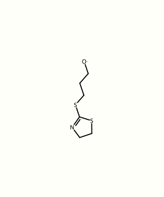 [O]CCCSC1=NCCS1